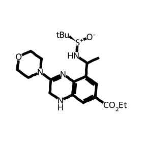 CCOC(=O)c1cc2c(c(C(C)N[S@+]([O-])C(C)(C)C)c1)N=C(N1CCOCC1)CN2